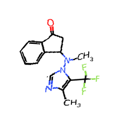 Cc1n[c]n(N(C)C2CC(=O)c3ccccc32)c1C(F)(F)F